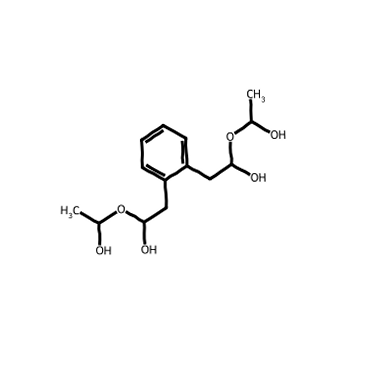 CC(O)OC(O)Cc1ccccc1CC(O)OC(C)O